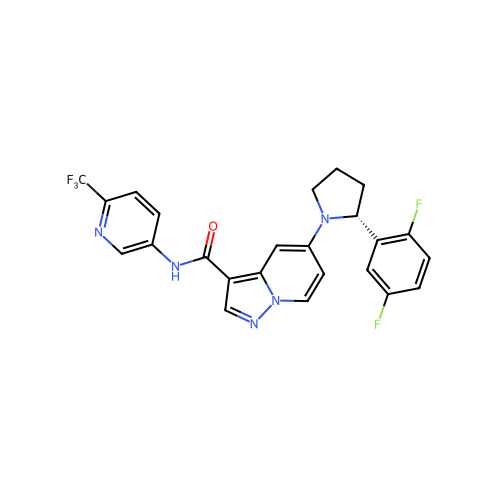 O=C(Nc1ccc(C(F)(F)F)nc1)c1cnn2ccc(N3CCC[C@@H]3c3cc(F)ccc3F)cc12